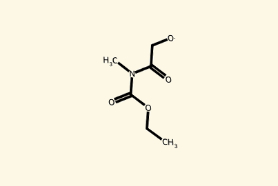 CCOC(=O)N(C)C(=O)C[O]